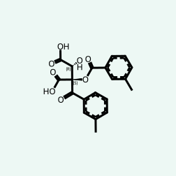 Cc1cccc(C(=O)O[C@](C(=O)O)(C(=O)c2cccc(C)c2)[C@@H](O)C(=O)O)c1